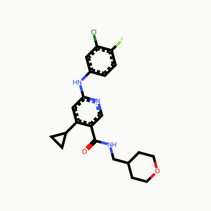 O=C(NCC1CCOCC1)c1cnc(Nc2ccc(F)c(Cl)c2)cc1C1CC1